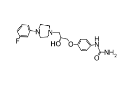 NC(=O)Nc1ccc(OC[C@@H](O)CN2CCN(c3cccc(F)c3)CC2)cc1